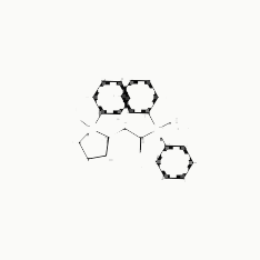 B[PH](c1ccccc1)(c1ccccc1)C(C)C[C@H]1CCC[PH]1(B)c1ccccc1